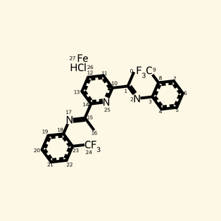 C/C(=N\c1ccccc1C(F)(F)F)c1cccc(/C(C)=N/c2ccccc2C(F)(F)F)n1.Cl.[Fe]